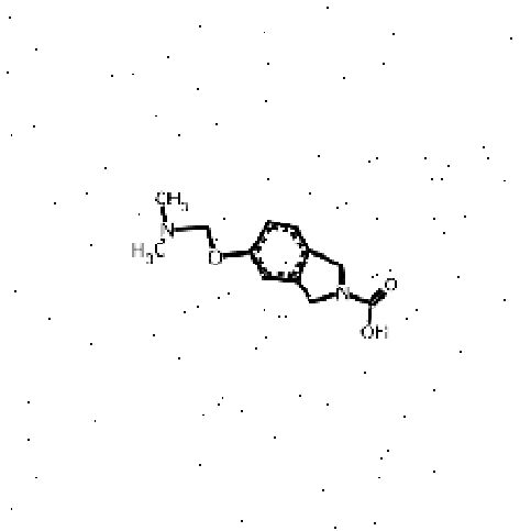 CN(C)COc1ccc2c(c1)CN(C(=O)O)C2